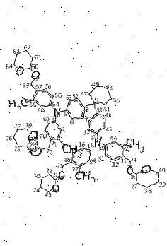 Cc1cc(N(c2ccc(C3(c4ccc(N(c5ccc(COC6CCCCO6)c(C)c5)c5ccc(COC6CCCCO6)c(C)c5)cc4)CCCCC3)cc2)c2ccc(COC3CCCCO3)c(C)c2)ccc1COC1CCCCO1